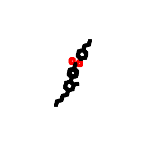 CCCCCC1CCC(c2ccc(C(=O)OC3CCC(CCC)CC3)cc2)C(C)C1